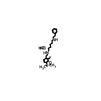 COc1ccc(CCNCCCCCCNCCc2ccccc2)c(F)c1OC.Cl.Cl